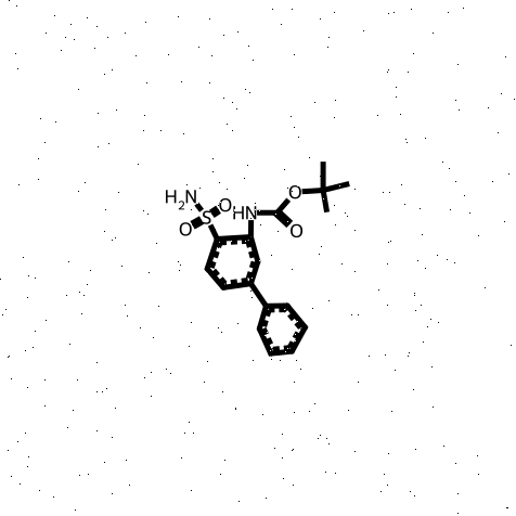 CC(C)(C)OC(=O)Nc1cc(-c2ccccc2)ccc1S(N)(=O)=O